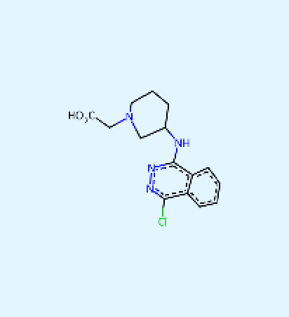 O=C(O)CN1CCCC(Nc2nnc(Cl)c3ccccc23)C1